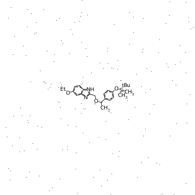 CCOc1ccc2[nH]c(COC(C)c3ccc(O[Si](C)(C)C(C)(C)C)cc3)nc2c1